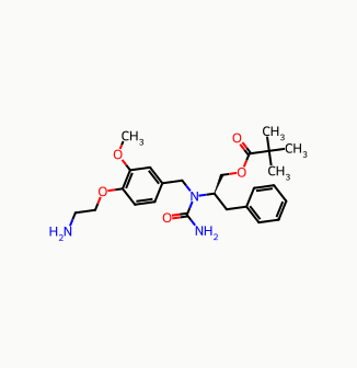 COc1cc(CN(C(N)=O)[C@@H](COC(=O)C(C)(C)C)Cc2ccccc2)ccc1OCCN